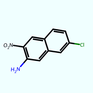 Nc1cc2cc(Cl)ccc2cc1[N+](=O)[O-]